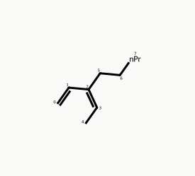 C=CC(=CC)CCCCC